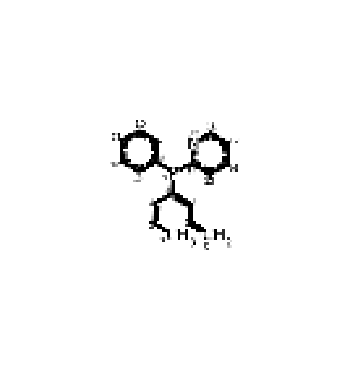 C=C/C=C(\C=C/C)P(c1ccccc1)c1ccccn1